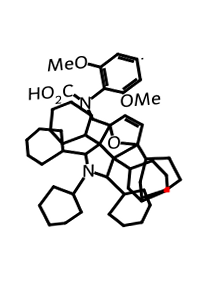 COc1c[c]cc(OC)c1N(CC12C=CC(C3CCCCC3)(O1)C1(C3CCCCC3)C(C3CCCCC3)N(C3CCCCC3)C(C3CCCCC3)C21C1CCCCC1)C(=O)O